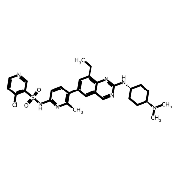 CCc1cc(-c2ccc(NS(=O)(=O)c3cnccc3Cl)nc2C)cc2cnc(N[C@H]3CC[C@H](N(C)C)CC3)nc12